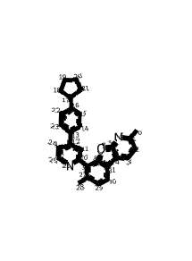 Cc1ccc2c(n1)oc1c(-c3cc(-c4ccc(C5CCCC5)cc4)ccn3)c(C)ccc12